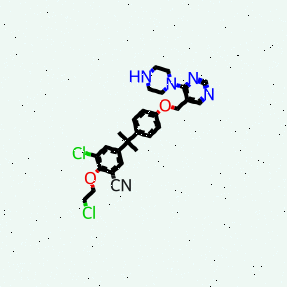 CC(C)(c1ccc(OCc2cncnc2N2CCNCC2)cc1)c1cc(Cl)c(OCCCl)c(C#N)c1